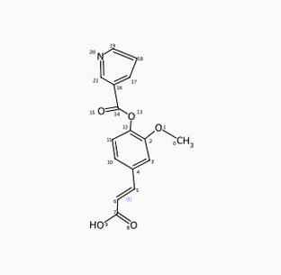 COc1cc(/C=C/C(=O)O)ccc1OC(=O)c1cccnc1